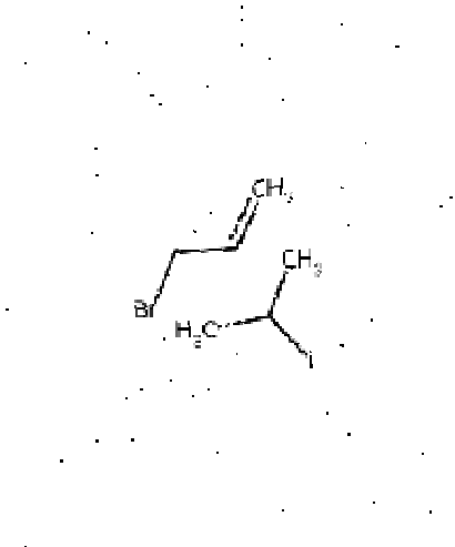 C=CCBr.CC(C)I